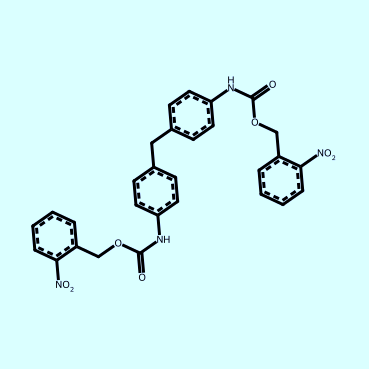 O=C(Nc1ccc(Cc2ccc(NC(=O)OCc3ccccc3[N+](=O)[O-])cc2)cc1)OCc1ccccc1[N+](=O)[O-]